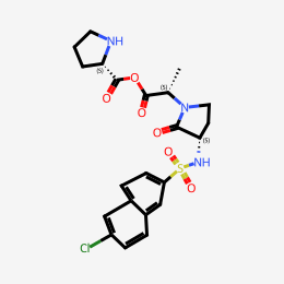 C[C@@H](C(=O)OC(=O)[C@@H]1CCCN1)N1CC[C@H](NS(=O)(=O)c2ccc3cc(Cl)ccc3c2)C1=O